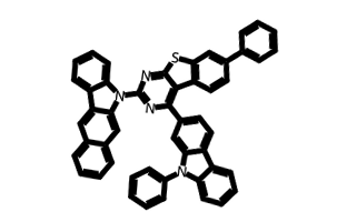 c1ccc(-c2ccc3c(c2)sc2nc(-n4c5ccccc5c5cc6ccccc6cc54)nc(-c4ccc5c6ccccc6n(-c6ccccc6)c5c4)c23)cc1